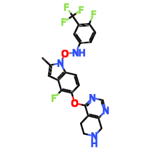 Cc1cc2c(F)c(Oc3ncnc4c3CCNC4)ccc2n1ONc1ccc(F)c(C(F)(F)F)c1